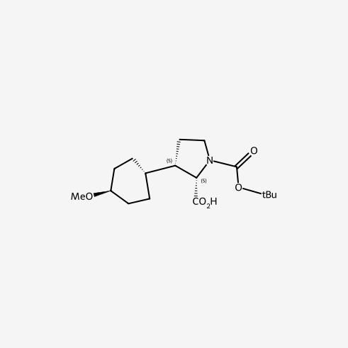 CO[C@H]1CC[C@H]([C@@H]2CCN(C(=O)OC(C)(C)C)[C@@H]2C(=O)O)CC1